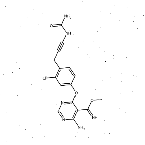 COC(=N)c1c(N)ncnc1Oc1ccc(CC#CNC(N)=O)c(Cl)c1